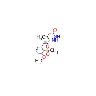 COc1cccc(/C=C/C2NNC(=O)CC2C)c1S(C)(=O)=O